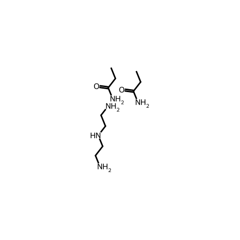 CCC(N)=O.CCC(N)=O.NCCNCCN